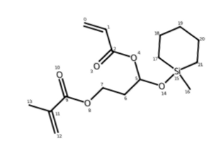 C=CC(=O)OC(CCOC(=O)C(=C)C)O[Si]1(C)CCCCC1